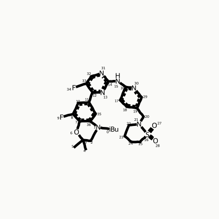 CCC(C)N1CC(C)(C)Oc2c(F)cc(-c3nc(Nc4ccc(CN5CCCCS5(=O)=O)cn4)ncc3F)cc21